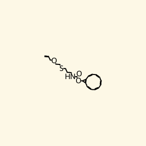 C=CCOCCSCCCNC(=O)OC1C2=C1\C=C/C=C\C=C/C=C\C=C/2